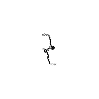 CCCCCCCCCCCCCCCC#CCCCc1ccccc1N=CC(CCCC)=Nc1ccccc1CCCC#CCCCCCCCCCCCCCCC.[Ni]